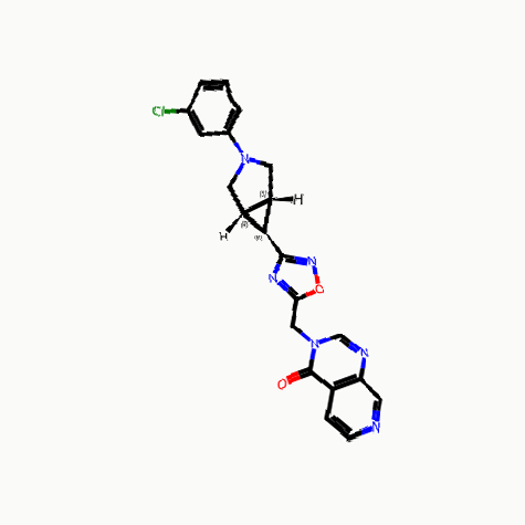 O=c1c2ccncc2ncn1Cc1nc([C@H]2[C@@H]3CN(c4cccc(Cl)c4)C[C@@H]32)no1